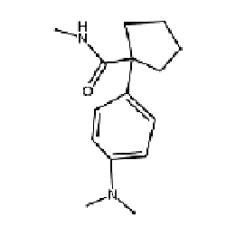 CNC(=O)C1(c2ccc(N(C)C)cc2)CCCC1